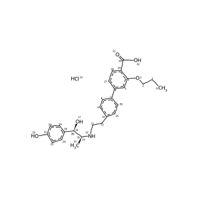 CCCOc1cc(-c2ccc(CCN[C@@H](C)[C@H](O)c3ccc(O)cc3)cc2)ccc1C(=O)O.Cl